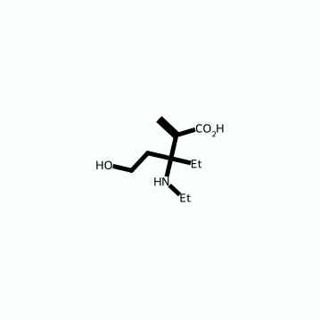 C=C(C(=O)O)C(CC)(CCO)NCC